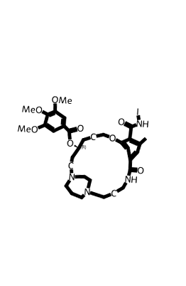 COc1cc(C(=O)O[C@@H]2CCCOc3cc(cc(C)c3C(=O)NI)C(=O)NCCCN3CCCN(CC2)CC3)cc(OC)c1OC